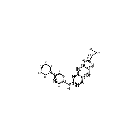 Brc1cnc(Nc2ccc(N3CCOCC3)nc2)nc1Nc1cc(C2CC2)n[nH]1